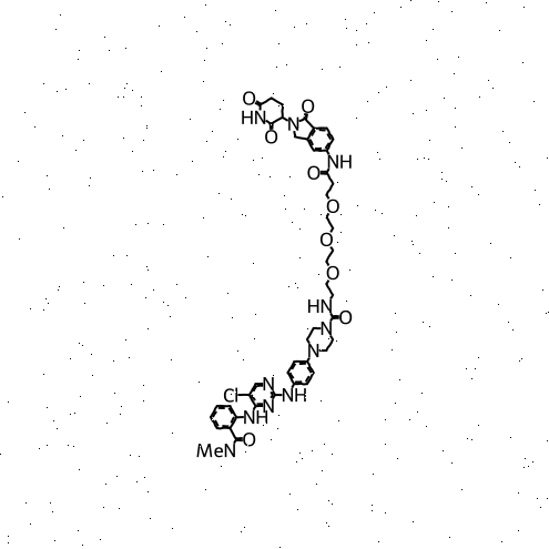 CNC(=O)c1ccccc1Nc1nc(Nc2ccc(N3CCN(C(=O)NCCOCCOCCOCCC(=O)Nc4ccc5c(c4)CN(C4CCC(=O)NC4=O)C5=O)CC3)cc2)ncc1Cl